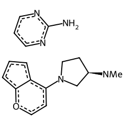 CN[C@@H]1CCN(c2ccoc3cccc2-3)C1.Nc1ncccn1